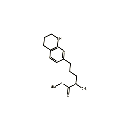 CN(CCCc1ccc2c(n1)NCCC2)C(=O)OC(C)(C)C